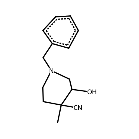 CC1(C#N)CCN(Cc2ccccc2)CC1O